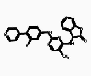 Cc1cnc(Nc2ccc(-c3ccncc3)c(F)c2)nc1Nn1c(=O)oc2ccccc21